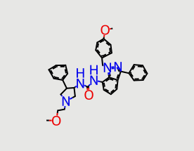 COCCN1CC(NC(=O)Nc2cccc3c(-c4ccccc4)nn(Cc4ccc(OC)cc4)c23)C(c2ccccc2)C1